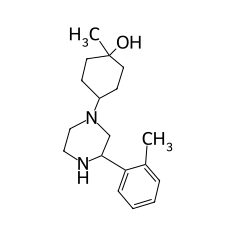 Cc1ccccc1C1CN(C2CCC(C)(O)CC2)CCN1